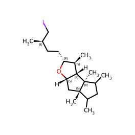 CC1CC(C)[C@]2(C)[C@H]3[C@H](C)[C@@H](CC[C@@H](C)CI)O[C@H]3C[C@@]12C